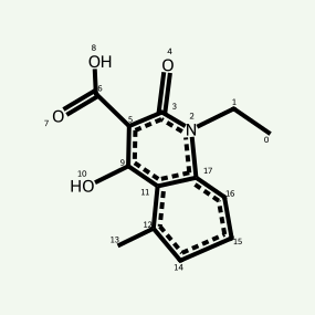 CCn1c(=O)c(C(=O)O)c(O)c2c(C)cccc21